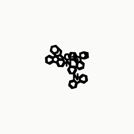 CCC1CC2CCCC(C2)C12c1ccccc1-c1ccc(N(c3ccc(-n4c5ccccc5c5ccccc54)cc3)c3cccc4c3-c3ccccc3C43CC4CCC3C4)cc12